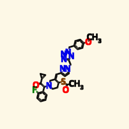 COc1ccc(Cn2nnc(Cn3ccc(C=C4CN(C(C(=O)C5CC5)c5ccccc5F)CCC4SC(C)=O)n3)n2)cc1